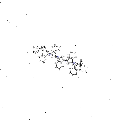 C/C(C1=C(C(C)C(C)(C)C)OCCC1)=c1/s/c(=c2/s/c(=c3/s/c(=C4/SC(C(C)(C)C)C5=C4CCCC5)c4c3CCCC4)c3c2CCCC3)c2c1CCCC2